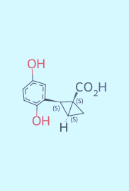 O=C(O)[C@@]12C[C@H]1[C@H]2c1cc(O)ccc1O